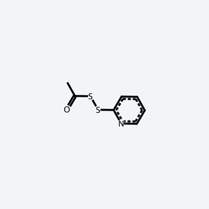 CC(=O)SSc1ccccn1